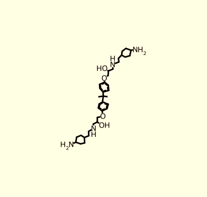 CC(C)(c1ccc(OCC(O)CNCCC2CCC(N)CC2)cc1)c1ccc(OCC(O)CNCCC2CCC(N)CC2)cc1